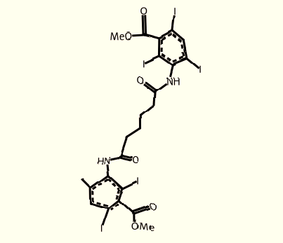 COC(=O)c1c(I)cc(C)c(NC(=O)CCCCC(=O)Nc2c(I)cc(I)c(C(=O)OC)c2I)c1I